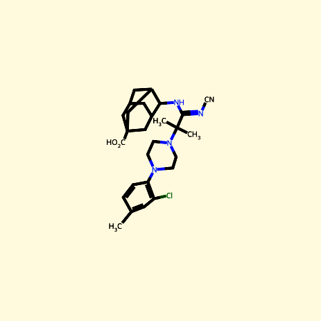 Cc1ccc(N2CCN(C(C)(C)/C(=N/C#N)NC3C4CC5CC3CC(C(=O)O)(C5)C4)CC2)c(Cl)c1